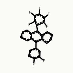 Fc1ccc(-c2c3ccccc3c(-c3c(F)c(F)c(F)c(F)c3F)c3ccccc23)cc1F